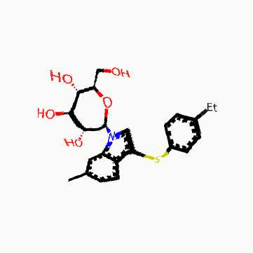 CCc1ccc(Sc2cn([C@@H]3O[C@H](CO)[C@@H](O)[C@H](O)[C@H]3O)c3cc(C)ccc23)cc1